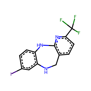 FC(F)(F)c1ccc2c(n1)Nc1ccc(I)cc1NC2